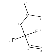 C=CC(F)(F)CC(C)C